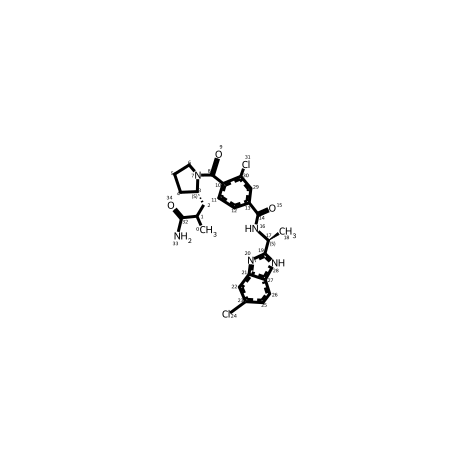 CC(C[C@@H]1CCCN1C(=O)c1ccc(C(=O)N[C@@H](C)c2nc3cc(Cl)ccc3[nH]2)cc1Cl)C(N)=O